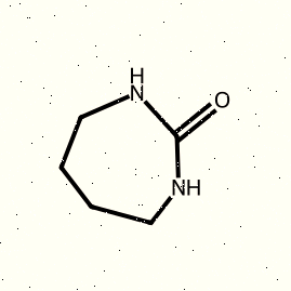 O=C1NCCCCN1